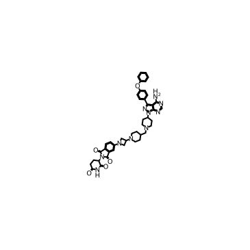 Nc1ncnc2c1c(-c1ccc(Oc3ccccc3)cc1)nn2C1CCN(CC2CCN(C3CN(c4ccc5c(c4)C(=O)N(C4CCC(=O)NC4=O)C5=O)C3)CC2)CC1